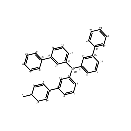 CC1C=CC(c2cccc(N(c3cccc(-c4ccccc4)c3)c3cccc(-c4ccccc4)c3)c2)=CC1